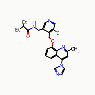 CCC(CC)C(=O)NCc1cncc(Cl)c1COc1cccc2c(-n3ccnc3)cc(C)nc12